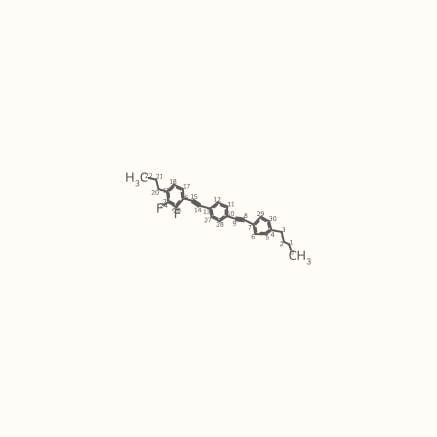 CCCCc1ccc(C#Cc2ccc(C#Cc3ccc(CCC)c(F)c3F)cc2)cc1